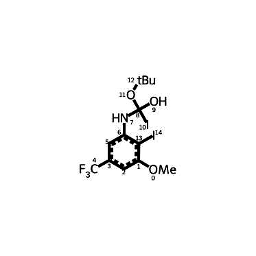 COc1cc(C(F)(F)F)cc(NC(O)(I)OC(C)(C)C)c1I